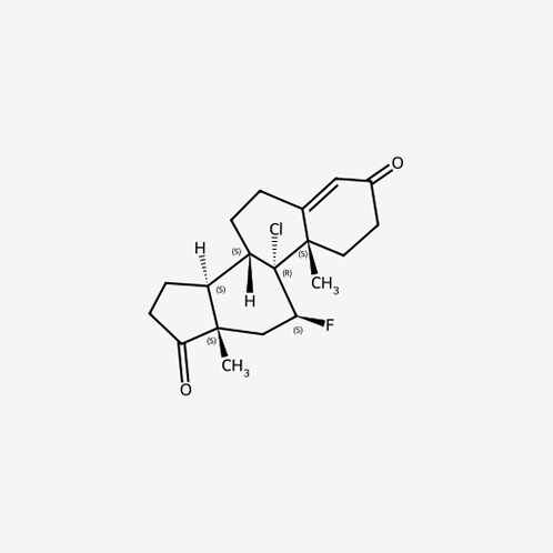 C[C@]12CCC(=O)C=C1CC[C@H]1[C@@H]3CCC(=O)[C@@]3(C)C[C@H](F)[C@@]12Cl